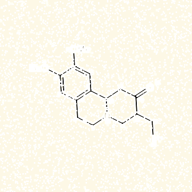 COc1cc2c(cc1OCC(C)C)CCN1CC(CC(C)C)C(=O)CC21